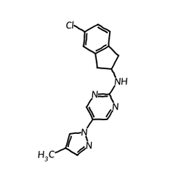 Cc1cnn(-c2cnc(NC3Cc4ccc(Cl)cc4C3)nc2)c1